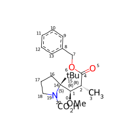 CO[C@H]([C@@H](C)C(=O)OCc1ccccc1)[C@@]1(C(C)(C)C)CCCN1C(=O)O